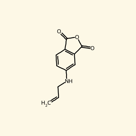 C=CCNc1ccc2c(c1)C(=O)OC2=O